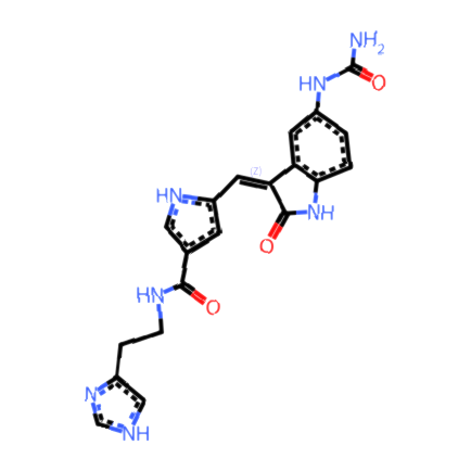 NC(=O)Nc1ccc2c(c1)/C(=C/c1cc(C(=O)NCCc3c[nH]cn3)c[nH]1)C(=O)N2